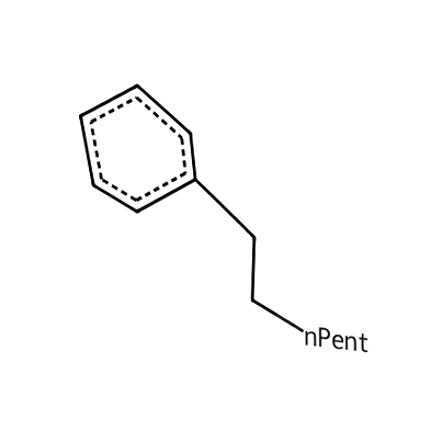 CCC[CH]CCCc1ccccc1